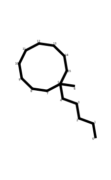 CCCCCC1(C)CCCCCCCCC1